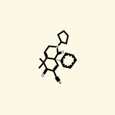 CC1(C)C(=O)C(C#N)=C[C@]2(c3ccccc3)C(=O)N(C3CCCC3)CC=C12